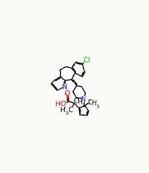 CC(C)(C(=O)O)C1=CC=CC1(C)N1CCC(=C2c3ccc(Cl)cc3CCc3cccnc32)CC1